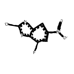 O=[N+]([O-])c1cc(F)c2sc(Cl)nc2c1